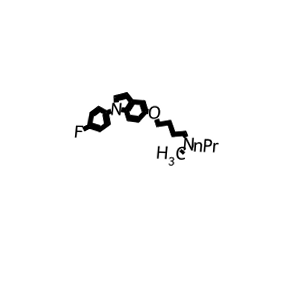 CCCN(C)CCCCOc1ccc2c(ccn2-c2ccc(F)cc2)c1